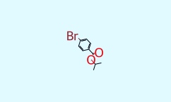 CC(C)OC(=O)c1ccc(Br)cc1